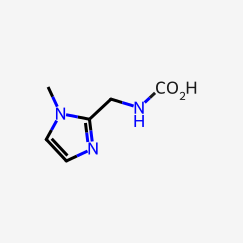 Cn1ccnc1CNC(=O)O